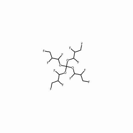 FCC(F)C(F)OC(OC(F)C(F)CF)(OC(F)C(F)CF)OC(F)C(F)CF